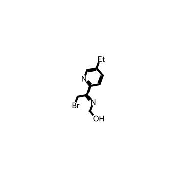 CCc1ccc(C(CBr)=NCO)nc1